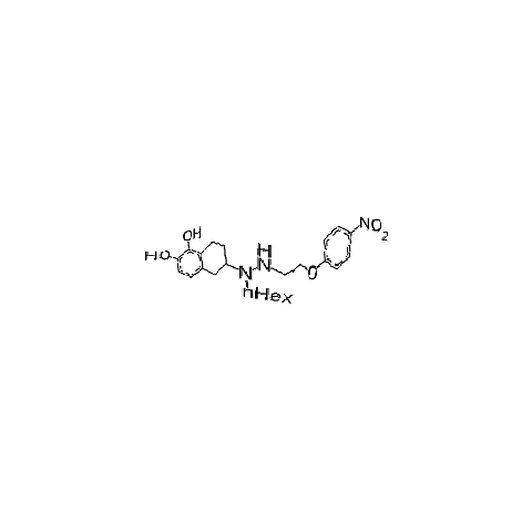 CCCCCCN(NCCOc1ccc([N+](=O)[O-])cc1)C1CCc2c(ccc(O)c2O)C1